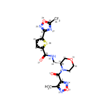 Cc1nonc1C(=O)N1CCOC[C@H]1CNC(=O)c1ccc(-c2noc(C(F)(F)F)n2)s1